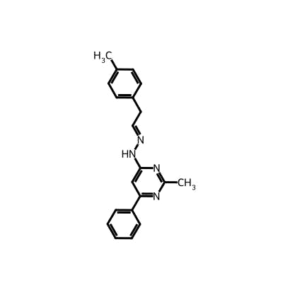 Cc1ccc(CC=NNc2cc(-c3ccccc3)nc(C)n2)cc1